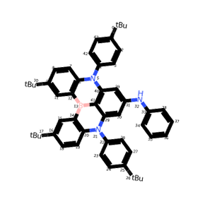 CC(C)(C)c1ccc(N2c3ccc(C(C)(C)C)cc3B3c4cc(C(C)(C)C)ccc4N(c4ccc(C(C)(C)C)cc4)c4cc(Nc5ccccc5)cc2c43)cc1